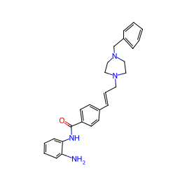 Nc1ccccc1NC(=O)c1ccc(/C=C/CN2CCN(Cc3ccccc3)CC2)cc1